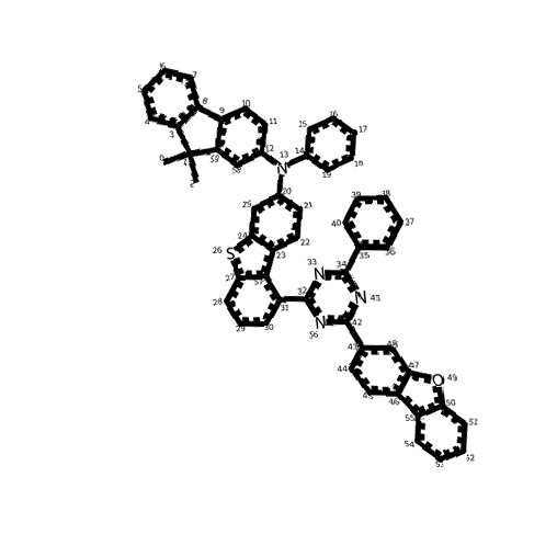 CC1(C)c2ccccc2-c2ccc(N(c3ccccc3)c3ccc4c(c3)sc3cccc(-c5nc(-c6ccccc6)nc(-c6ccc7c(c6)oc6ccccc67)n5)c34)cc21